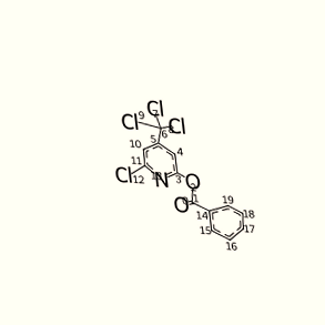 O=C(Oc1cc(C(Cl)(Cl)Cl)cc(Cl)n1)c1ccccc1